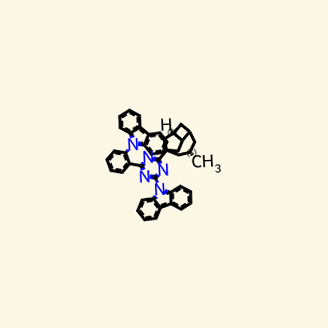 C[C@H]1CC2C[C@@H]3CC(c4nc(-c5ccccc5-n5c6ccccc6c6ccccc65)nc(-n5c6ccccc6c6ccccc65)n4)(CC23)C1